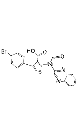 O=CN(c1cnc2ccccc2n1)c1scc(-c2ccc(Br)cc2)c1C(=O)O